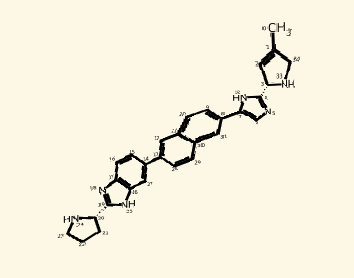 CC1=C[C@@H](c2ncc(-c3ccc4cc(-c5ccc6nc([C@@H]7CCCN7)[nH]c6c5)ccc4c3)[nH]2)NC1